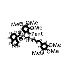 CCCCCc1c(N(CCNCC=Cc2cc(OC)c(OC)c(OC)c2)S(=O)(=O)c2cccc3cnccc23)cc(OC)c(OC)c1OC